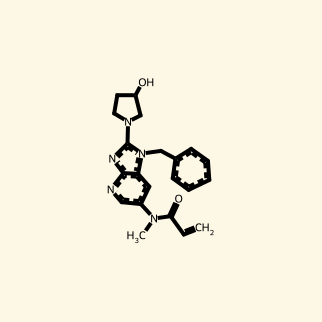 C=CC(=O)N(C)c1cnc2nc(N3CCC(O)C3)n(Cc3ccccc3)c2c1